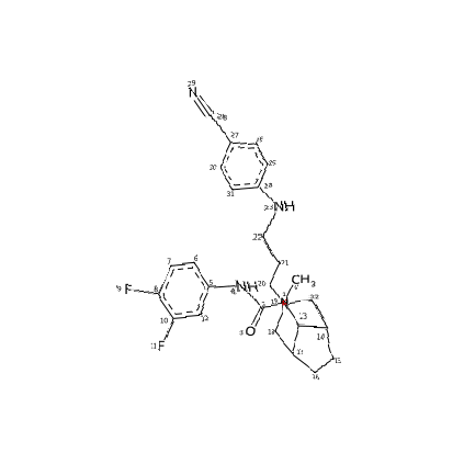 CN(C(=O)Nc1ccc(F)c(F)c1)C1C2CCC1CN(CCCNc1ccc(C#N)cc1)C2